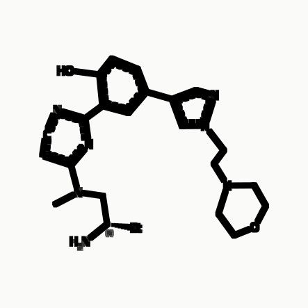 CC[C@H](N)CN(C)c1ccnc(-c2cc(-c3cnn(CCN4CCOCC4)c3)ccc2O)n1